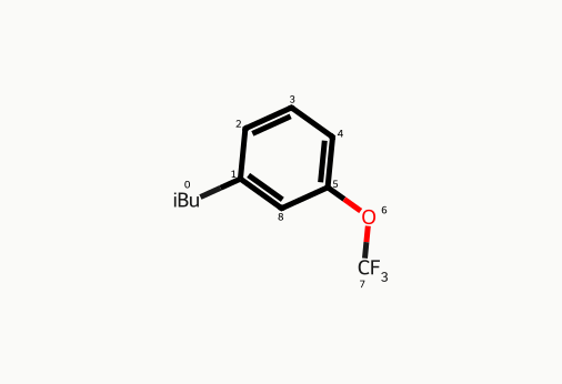 CCC(C)c1cccc(OC(F)(F)F)c1